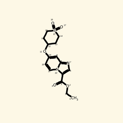 CCOC(=O)c1cnc2cc(OC3CCS(=O)(=O)CC3)ccn12